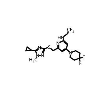 Cn1nc(SCc2cc(N3CCC(F)(F)CC3)cc(NCC(F)(F)F)n2)nc1C1CC1